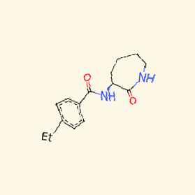 CCc1ccc(C(=O)N[C@H]2CCCCNC2=O)cc1